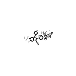 Cc1cc2c(cc1F)c(C#N)c(-c1ccc(S(=O)(=O)N[C@@H](C)C(F)(F)F)cn1)n2-c1ccsc1